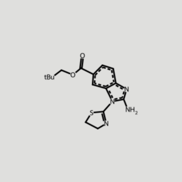 CC(C)(C)COC(=O)c1ccc2nc(N)n(C3=NCCS3)c2c1